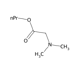 [CH2]CCOC(=O)CN(C)C